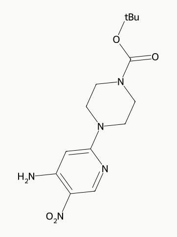 CC(C)(C)OC(=O)N1CCN(c2cc(N)c([N+](=O)[O-])cn2)CC1